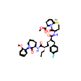 CCC[C@@H](CC[C@H](Cc1ccc(F)cc1)C(=O)N[C@H]1CCS[C@H]2CCC[C@@H](C(=O)OC)N2C1=O)C(=O)N[C@H]1CCCCN(c2ccccc2OC)C1=O